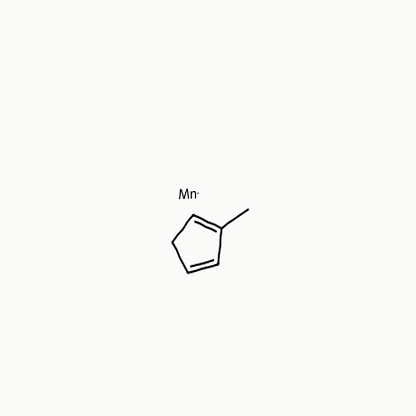 CC1=CCC=C1.[Mn]